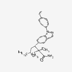 CC(C)CC(c1ccc2c(cnn2-c2ccc(F)cc2)c1)C(C)(C)C(N)=O